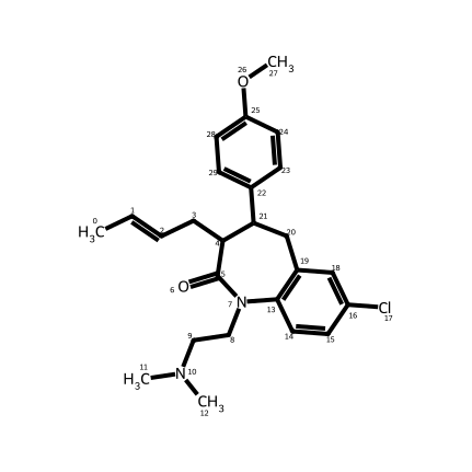 CC=CCC1C(=O)N(CCN(C)C)c2ccc(Cl)cc2CC1c1ccc(OC)cc1